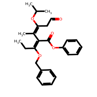 CC/C(OCc1ccccc1)=C(C(=O)Oc1ccccc1)\C(C)=C(/CC=O)OC(C)C